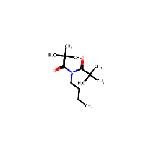 CCCCN(C(=O)C(C)(C)C)C(=O)C(C)(C)C